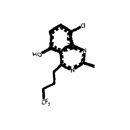 Cc1nc(CCCC(F)(F)F)c2c(O)ccc(Cl)c2n1